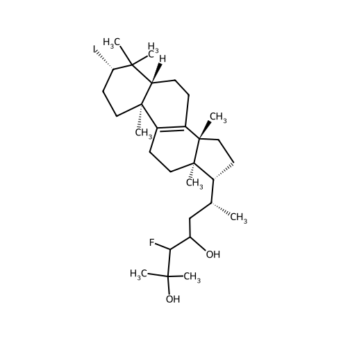 C[C@H](CC(O)C(F)C(C)(C)O)[C@H]1CC[C@@]2(C)C3=C(CC[C@]12C)[C@@]1(C)CC[C@H](I)C(C)(C)[C@@H]1CC3